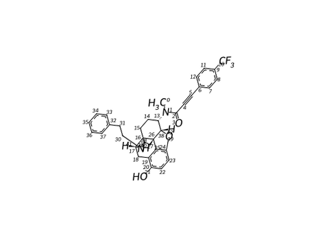 CN(C(=O)C#Cc1ccc(C(F)(F)F)cc1)[C@H]1CC[C@H]2[C@H]3Cc4c(O)ccc5c4[C@@]2(CCN3CCc2ccccc2)[C@H]1O5